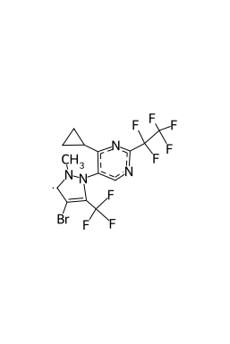 CN1[CH]C(Br)=C(C(F)(F)F)N1c1cnc(C(F)(F)C(F)(F)F)nc1C1CC1